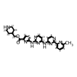 Cc1cccc(-c2nccc(Nc3ccnc(Nc4nc(C(=O)OCC5CCNCC5)cs4)n3)n2)n1